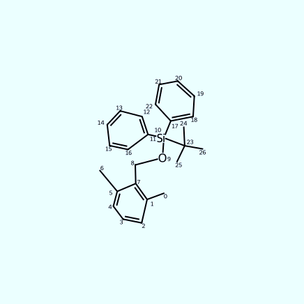 Cc1cccc(C)c1CO[Si](c1ccccc1)(c1ccccc1)C(C)(C)C